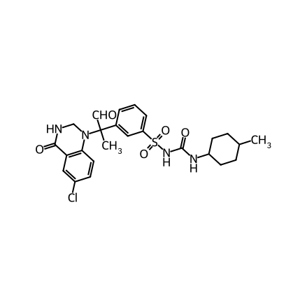 CC1CCC(NC(=O)NS(=O)(=O)c2cccc(C(C)(C=O)N3CNC(=O)c4cc(Cl)ccc43)c2)CC1